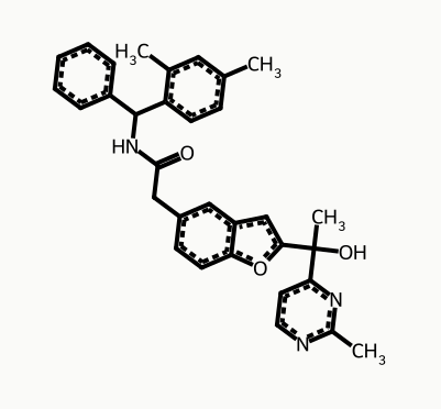 Cc1ccc(C(NC(=O)Cc2ccc3oc(C(C)(O)c4ccnc(C)n4)cc3c2)c2ccccc2)c(C)c1